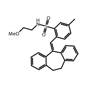 COCCNS(=O)(=O)c1cc(C)ccc1C=C1c2ccccc2CCc2ccccc21